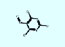 O=Nc1c(Cl)nc(Cl)nc1Cl